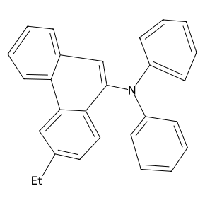 CCc1ccc2c(N(c3ccccc3)c3ccccc3)cc3ccccc3c2c1